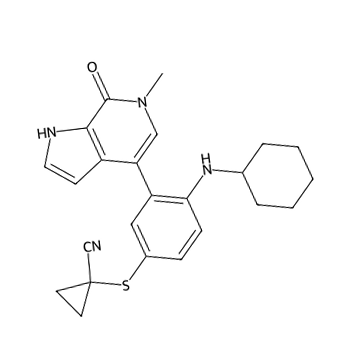 Cn1cc(-c2cc(SC3(C#N)CC3)ccc2NC2CCCCC2)c2cc[nH]c2c1=O